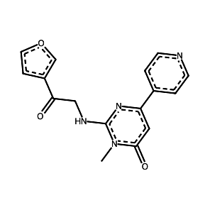 Cn1c(NCC(=O)c2ccoc2)nc(-c2ccncc2)cc1=O